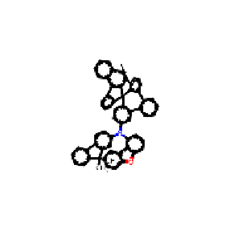 CC1(C)c2ccccc2-c2ccc(N(c3ccc4c(c3)-c3ccccc3-c3ccccc3C43c4ccccc4-c4c3c3ccccc3c3ccccc43)c3cccc4oc5ccccc5c34)cc21